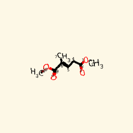 COC(=O)C/C=C(\C)C(=O)OC